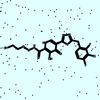 CC(C)CCOSNC(=O)c1[nH]cc(-c2nnc(Cc3ccc(F)c(Cl)c3F)s2)c(=O)c1O